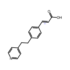 O=C(O)/C=C/c1ccc(CCc2ccncc2)cc1